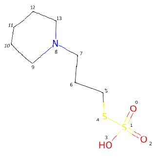 O=S(=O)(O)SCCCN1CCCCC1